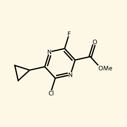 COC(=O)c1nc(Cl)c(C2CC2)nc1F